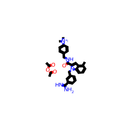 CC(=O)OC(C)=O.Cc1cccc2c1cc(C(=O)NCc1ccc([N+](C)(C)C)cc1)n2Cc1cccc(C(=N)N)c1